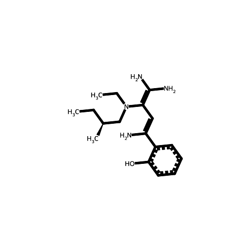 CC[C@H](C)CN(CC)C(/C=C(\N)c1ccccc1O)=C(N)N